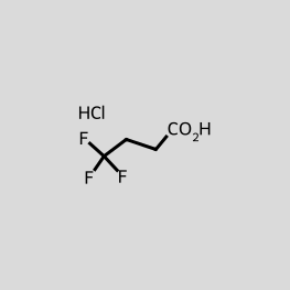 Cl.O=C(O)CCC(F)(F)F